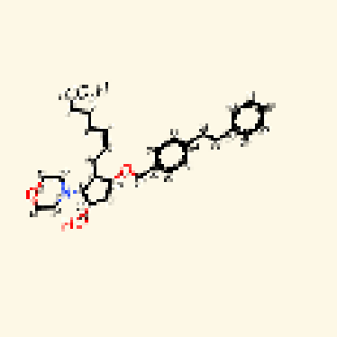 O=C(O)CCC/C=C\C[C@@H]1[C@@H](N2CCOCC2)[C@H](O)C[C@@H]1OCc1ccc(CCc2ccccc2)cc1